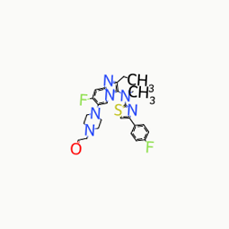 CCc1nc2cc(F)c(N3CCN(CC=O)CC3)cn2c1N(C)c1nc(-c2ccc(F)cc2)cs1